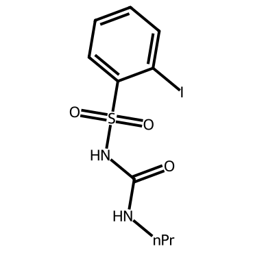 CCCNC(=O)NS(=O)(=O)c1ccccc1I